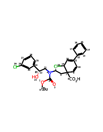 CC(C)(C)OC(=O)N(CCC1(C(=O)O)C=CC(c2ccccc2)=CC1Cl)C[C@H](O)c1cccc(Cl)c1